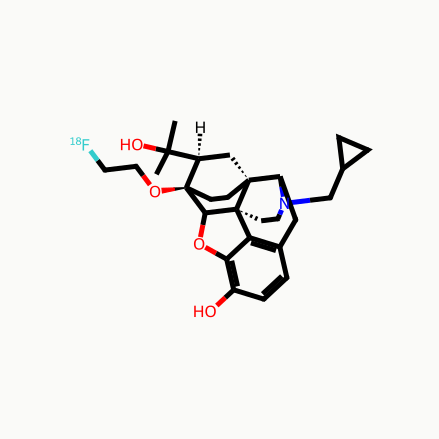 CC(C)(O)[C@H]1C[C@@]23CC[C@]1(OCC[18F])C1Oc4c(O)ccc5c4[C@@]12CCN(CC1CC1)C3C5